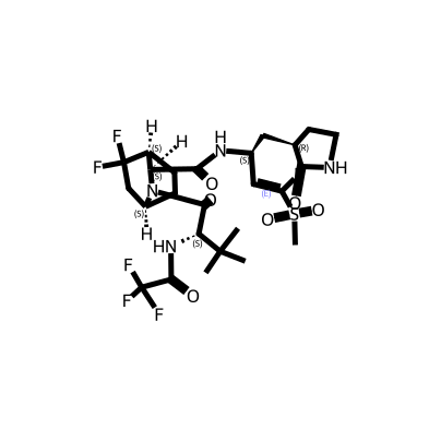 CC(C)(C)[C@H](NC(=O)C(F)(F)F)C(=O)N1[C@H]2CC[C@@H]([C@H]1C(=O)N[C@H](/C=C(\F)S(C)(=O)=O)C[C@H]1CCNC1=O)C(F)(F)C2